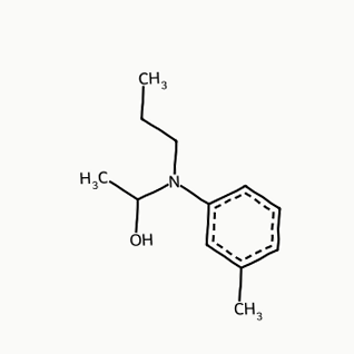 CCCN(c1cccc(C)c1)C(C)O